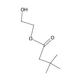 CC(C)(C)CC(=O)OCCO